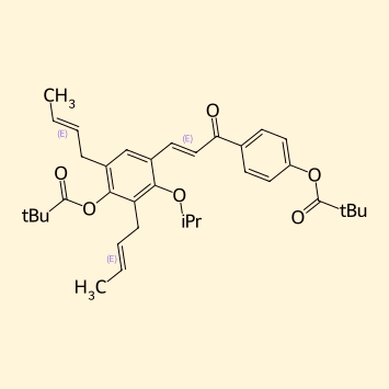 C/C=C/Cc1cc(/C=C/C(=O)c2ccc(OC(=O)C(C)(C)C)cc2)c(OC(C)C)c(C/C=C/C)c1OC(=O)C(C)(C)C